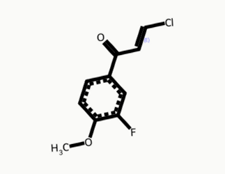 COc1ccc(C(=O)/C=C/Cl)cc1F